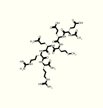 CSCC[C@H](NC(=O)[C@H](CCC(=O)O)NC(=O)[C@H](CCC(=O)O)NC(C)=O)C(=O)N[C@@H](CCC(N)=O)C(=O)N[C@@H](CCCNC(=N)N)C(=O)N[C@@H](CCCNC(=N)N)C(N)=O